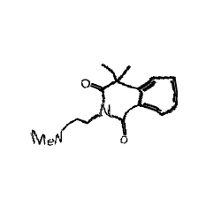 CNCCN1C(=O)c2ccccc2C(C)(C)C1=O